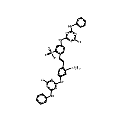 O=S(=O)([O-])c1cc(Nc2nc(Cl)nc(Nc3ccccc3)n2)ccc1C=Cc1ccc(Nc2nc(Cl)nc(Nc3ccccc3)n2)cc1S(=O)(=O)O.[H+].[KH]